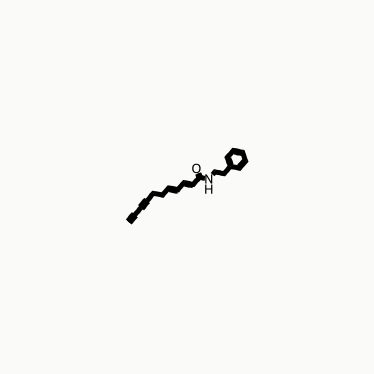 C#CC#CCC/C=C/C=C/C(=O)NCCc1ccccc1